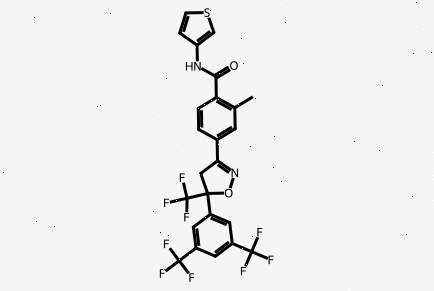 Cc1cc(C2=NOC(c3cc(C(F)(F)F)cc(C(F)(F)F)c3)(C(F)(F)F)C2)ccc1C(=O)Nc1ccsc1